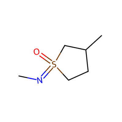 CN=S1(=O)CCC(C)C1